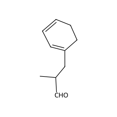 CC(C=O)CC1=CC=CCC1